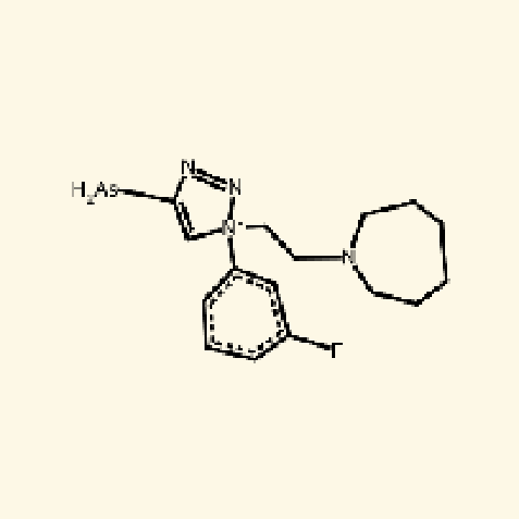 Fc1cccc([N+]2(CCN3CCCCCC3)C=C([AsH2])N=N2)c1